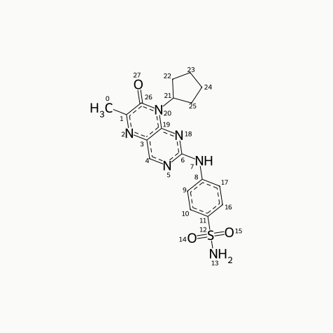 Cc1nc2cnc(Nc3ccc(S(N)(=O)=O)cc3)nc2n(C2CCCC2)c1=O